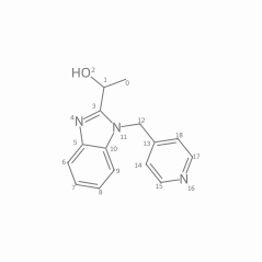 CC(O)c1nc2ccccc2n1Cc1ccncc1